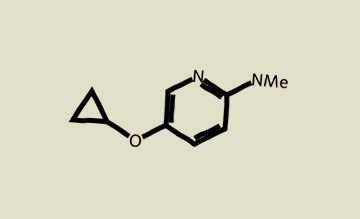 CNc1ccc(OC2CC2)cn1